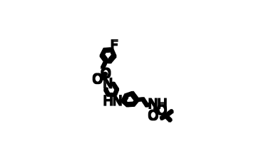 CC(C)(C)OC(=O)NCCc1ccc(NC2CCN(C(=O)OCc3ccc(F)cc3)CC2)cc1